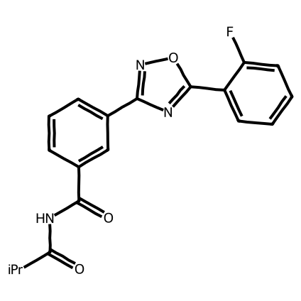 CC(C)C(=O)NC(=O)c1cccc(-c2noc(-c3ccccc3F)n2)c1